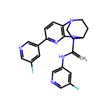 C=C(Nc1cncc(F)c1)N1c2nc(-c3cncc(F)c3)ccc2N2CCC1CC2